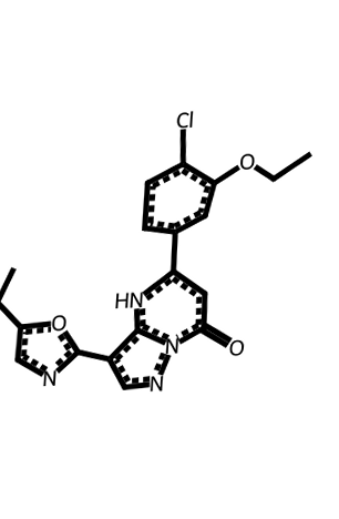 CCOc1cc(-c2cc(=O)n3ncc(-c4ncc(CC)o4)c3[nH]2)ccc1Cl